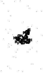 NC(=O)[C@H](C[C@@H]1CCNC1O)NC(=O)[C@@H]1CCCNN1C(=O)/C=C/c1ccc(Cl)cc1F